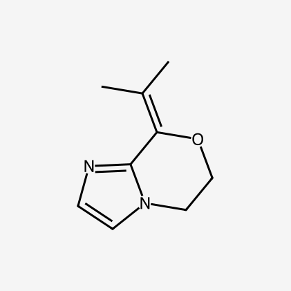 CC(C)=C1OCCn2ccnc21